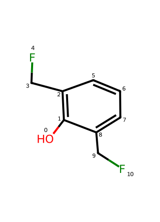 Oc1c(CF)cccc1CF